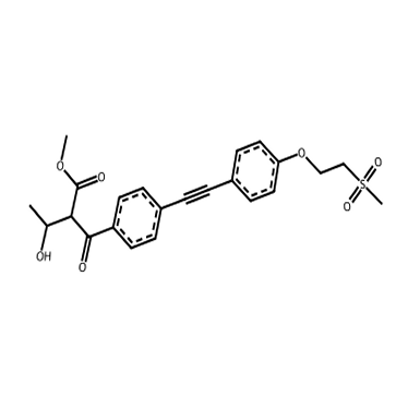 COC(=O)C(C(=O)c1ccc(C#Cc2ccc(OCCS(C)(=O)=O)cc2)cc1)C(C)O